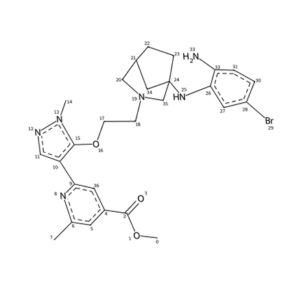 COC(=O)c1cc(C)nc(-c2cnn(C)c2OCCN2CC3CCC(Nc4cc(Br)ccc4N)(C3)C2)c1